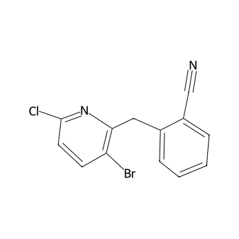 N#Cc1ccccc1Cc1nc(Cl)ccc1Br